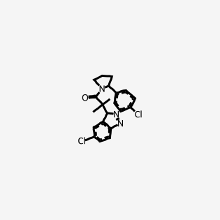 CC(C)(C(=O)N1CCCC1c1ccc(Cl)cc1)C1N=Nc2ccc(Cl)cc21